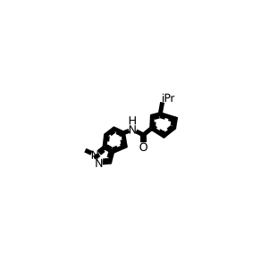 CC(C)c1cccc(C(=O)Nc2ccc3c(cnn3C)c2)c1